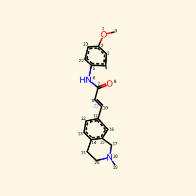 COc1ccc(NC(=O)/C=C/c2ccc3c(c2)CN(C)CC3)cc1